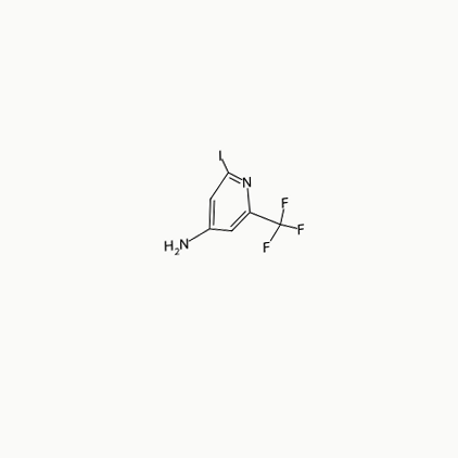 Nc1cc(I)nc(C(F)(F)F)c1